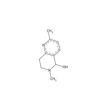 Cc1ccc2c(n1)CCN(C)C2O